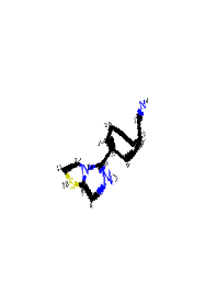 N#Cc1ccc(-c2ncc3sccn23)cc1